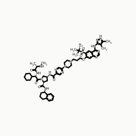 CN[C@@H](C)C(=O)N[C@H](C(=O)N1C[C@@H](NC(=O)c2cnc(N3CCN(CCCOc4cc5ncnc(Nc6n[nH]c(C)c6C)c5cc4S(=O)(=O)C(C)(C)C)CC3)cn2)C[C@H]1C(=O)N[C@@H]1CCCc2ccccc21)C1CCCCC1